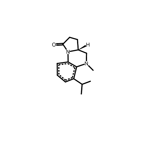 CC(C)c1cccc2c1N(C)C[C@H]1CCC(=O)N21